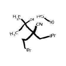 CC(C)CC(C#N)(CC(C)C)C(C)(C)C#N.O=NO